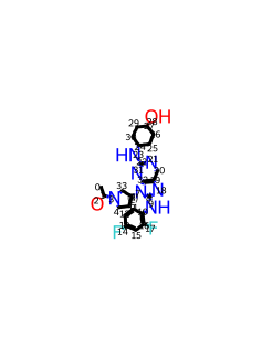 CC(=O)N1CC[C@@H](n2c(Nc3ccc(F)cc3F)nc3cnc(NC4CCC(O)CC4)nc32)C1